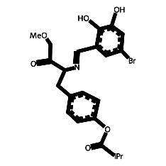 COCC(=O)C(Cc1ccc(OC(=O)C(C)C)cc1)N=Cc1cc(Br)cc(O)c1O